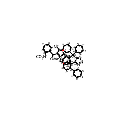 CCCCc1nc(Cl)c(C(OC)c2ccccc2C(=O)O)n1Cc1ccc(-c2ccccc2)c(-c2nnnn2C(c2ccccc2)(c2ccccc2)c2ccccc2)c1